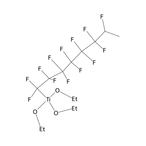 CC[O][Ti]([O]CC)([O]CC)[C](F)(F)C(F)(F)C(F)(F)C(F)(F)C(F)(F)C(F)(F)C(C)F